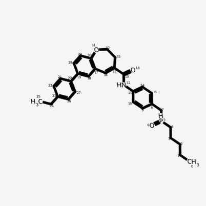 CCCCC[PH](=O)Cc1ccc(NC(=O)C2=Cc3cc(-c4ccc(CC)cc4)ccc3OCC2)cc1